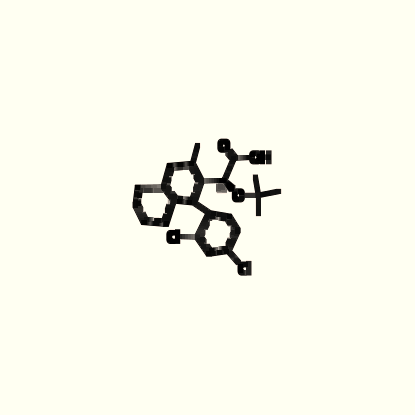 Cc1cc2ccccc2c(-c2ccc(Cl)cc2Cl)c1[C@H](OC(C)(C)C)C(=O)O